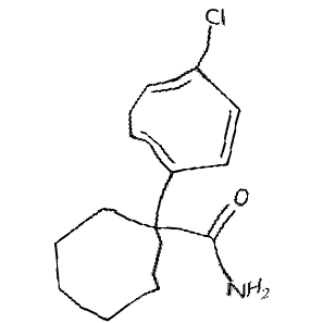 NC(=O)C1(c2ccc(Cl)cc2)CCCCC1